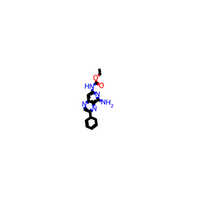 CCOC(=O)Nc1cc2ncc(C3C=CC=CC3)nc2c(N)n1